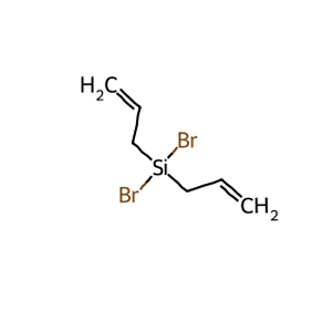 C=CC[Si](Br)(Br)CC=C